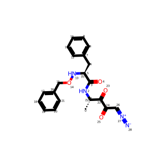 C[C@H](NC(=O)[C@H](Cc1ccccc1)NOCc1ccccc1)C(=O)C(=O)C=[N+]=[N-]